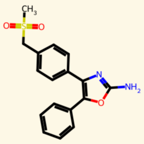 CS(=O)(=O)Cc1ccc(-c2nc(N)oc2-c2ccccc2)cc1